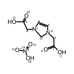 O=C(O)CN1C=CN(CC(=O)O)C1.O=[N+]([O-])O